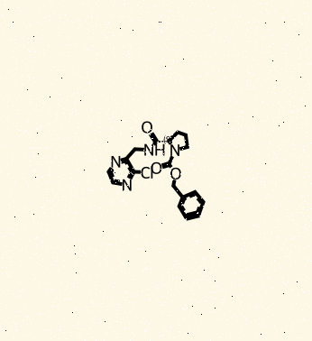 O=C(NCc1nccnc1Cl)[C@@H]1CCCN1C(=O)OCc1cc#ccc1